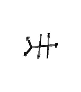 FC(F)C(F)(I)C(F)(F)I